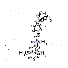 COC(Cc1ccc(OC/C(C)=C/CCC2=C(C)CCCC2(C)C)cc1)OC